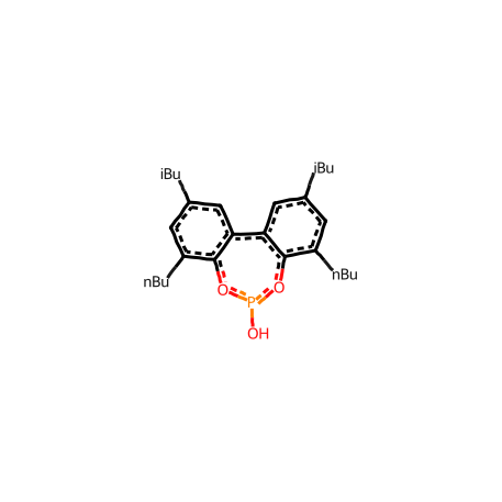 CCCCc1cc(C(C)CC)cc2c1op(O)oc1c(CCCC)cc(C(C)CC)cc12